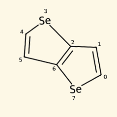 c1cc2[se]ccc2[se]1